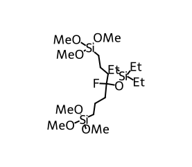 CC[Si](CC)(CC)OC(F)(CCC[Si](OC)(OC)OC)CCC[Si](OC)(OC)OC